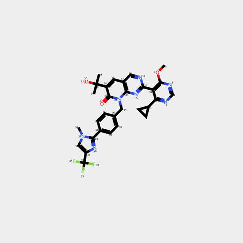 COc1ncnc(C2CC2)c1-c1ncc2cc(C(C)(C)O)c(=O)n(Cc3ccc(-c4nc(C(F)(F)F)cn4C)cc3)c2n1